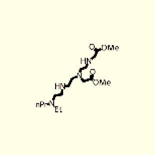 CCCN(CC)CCNCCN(CCNCC(=O)OC)CC(=O)OC